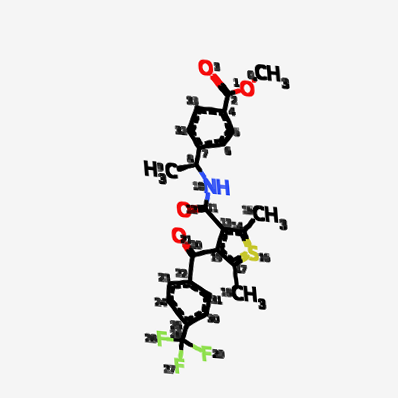 COC(=O)c1ccc([C@H](C)NC(=O)c2c(C)sc(C)c2C(=O)c2ccc(C(F)(F)F)cc2)cc1